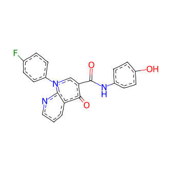 O=C(Nc1ccc(O)cc1)c1cn(-c2ccc(F)cc2)c2ncccc2c1=O